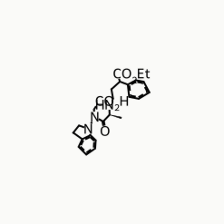 CCOC(=O)C(CCN[C@@H](C)C(=O)N(CC(=O)O)N1CCc2ccccc21)c1ccccc1